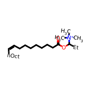 CCCCCCCC/C=C\CCCCCCCC(=O)OC(CC)[N+](C)(C)C